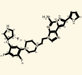 Nc1nc2c(ncn2CCN2CCN(c3cc(O[C@@H]4CNC[C@@H]4F)c(F)cc3F)CC2)c2cc(-c3ccco3)nn12